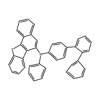 c1ccc(-c2ccccc2-c2ccc(N(c3ccccc3)c3cc4ccccc4c4sc5ccccc5c34)cc2)cc1